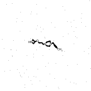 CC#CCN1CCN(CCCOC2CNC2)CC1